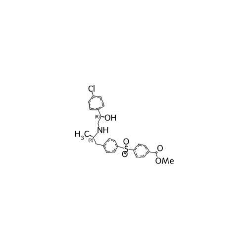 COC(=O)c1ccc(S(=O)(=O)c2ccc(C[C@@H](C)NC[C@H](O)c3ccc(Cl)cc3)cc2)cc1